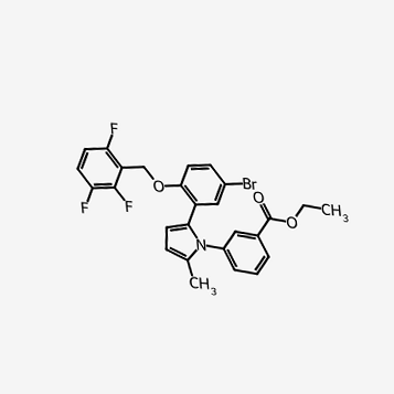 CCOC(=O)c1cccc(-n2c(C)ccc2-c2cc(Br)ccc2OCc2c(F)ccc(F)c2F)c1